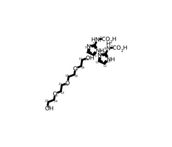 O=C(O)Nc1ncc[nH]1.O=C(O)Nc1ncc[nH]1.OCCOCCOCCOCCO